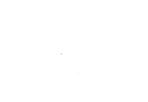 CN1C(=O)COc2cc(Nc3ccc(C(C)(C)C)cc3)ccc21